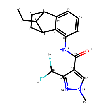 CCC1C2CCC1c1c(NC(=O)c3cn(C)nc3C(F)F)cccc12